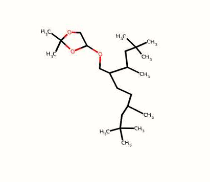 CC(CCC(COC1COC(C)(C)O1)C(C)CC(C)(C)C)CC(C)(C)C